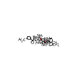 Cc1cccc(C(=O)NC[C@@H]2NC(=N)N3CC(NC(=O)c4cccc5c4OCCC5(C)C)[C@](C)(O)C34C2NC(=N)N4O)c1